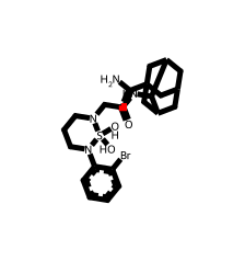 NC(=O)C12CC3CC(C1)C(NC(=O)CN1CCCN(c4ccccc4Br)S1(O)O)C(C3)C2